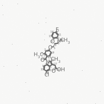 Cc1cc(OC[C@@H]2CN(C)c3cc(F)ccc3O2)ccc1C(=O)n1c(C)c(CC(=O)O)c2cc(Cl)ccc21